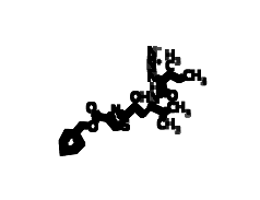 CC[C@H](C)C(N=[N+]=[N-])C(=O)N[C@H](C[C@@H](O)c1nc(C(=O)OCc2ccccc2)cs1)C(C)C